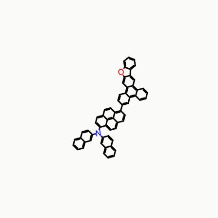 c1ccc2cc(N(c3ccc4ccccc4c3)c3ccc4ccc5c(-c6ccc7c(c6)c6ccccc6c6cc8c(cc76)oc6ccccc68)ccc6ccc3c4c65)ccc2c1